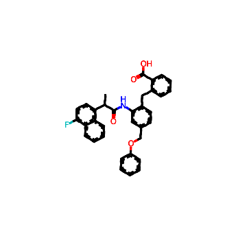 CC(C(=O)Nc1cc(COc2ccccc2)ccc1Cc1ccccc1C(=O)O)c1ccc(F)c2ccccc12